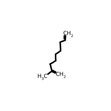 C=CCCCCCC(=C)C